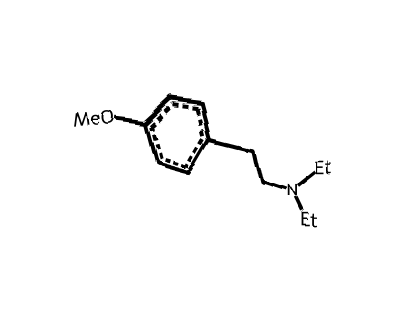 CCN(CC)CCc1ccc(OC)cc1